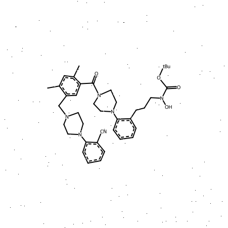 Cc1cc(C)c(C(=O)N2CCN(c3ccccc3CCCN(O)C(=O)OC(C)(C)C)CC2)cc1CN1CCN(c2ccccc2C#N)CC1